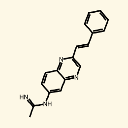 CC(=N)Nc1ccc2nc(/C=C/c3ccccc3)cnc2c1